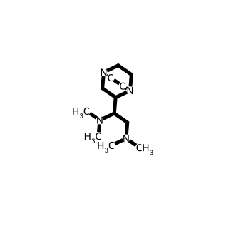 CN(C)CC(C1CN2CCN1CC2)N(C)C